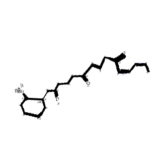 C=C(/C=C\C=C/C)CCCC(=O)CCCC(=O)C[C@H]1CCCCC1CCCC